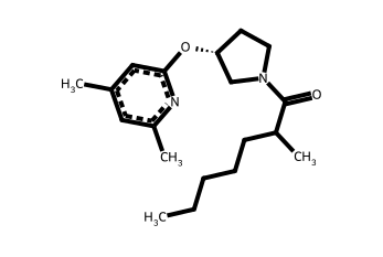 CCCCCC(C)C(=O)N1CC[C@@H](Oc2cc(C)cc(C)n2)C1